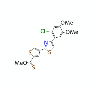 COC(=S)c1cc(-c2nc(-c3cc(OC)c(OC)cc3Cl)cs2)c(C)s1